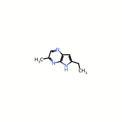 CCc1cc2ncc(C)nc2[nH]1